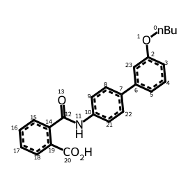 CCCCOc1cccc(-c2ccc(NC(=O)c3ccccc3C(=O)O)cc2)c1